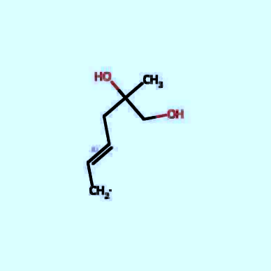 [CH2]/C=C/CC(C)(O)CO